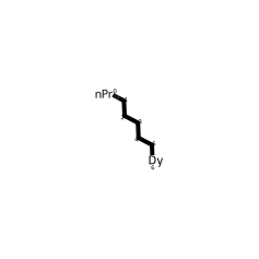 CCCCCCC[CH2][Dy]